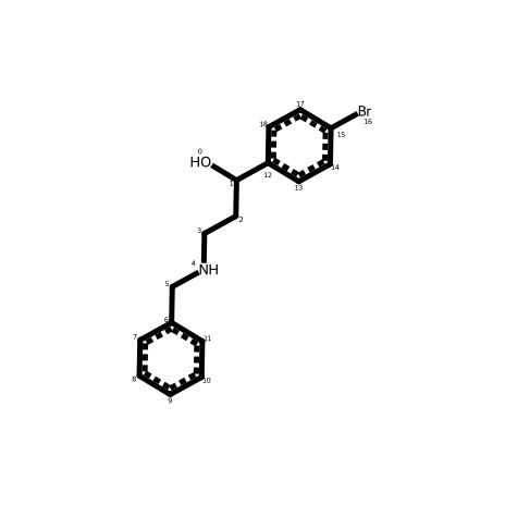 OC(CCNCc1ccccc1)c1ccc(Br)cc1